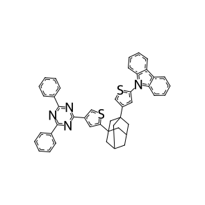 c1ccc(-c2nc(-c3ccccc3)nc(-c3csc(C45CC6CC(CC(c7csc(-n8c9ccccc9c9ccccc98)c7)(C6)C4)C5)c3)n2)cc1